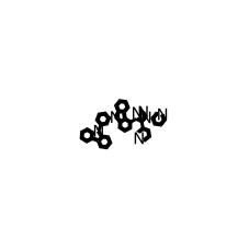 c1cncc(-c2c(-c3cccc4c3c3ccccc3n4-c3cccc(-n4c5ccccc5c5ccccc54)c3)nnn2-c2cccnc2)c1